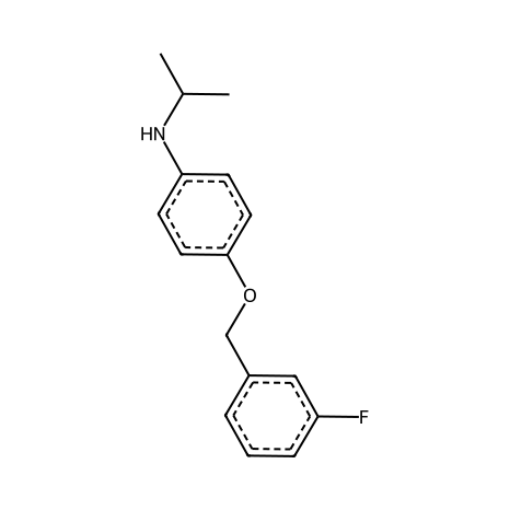 CC(C)Nc1ccc(OCc2cccc(F)c2)cc1